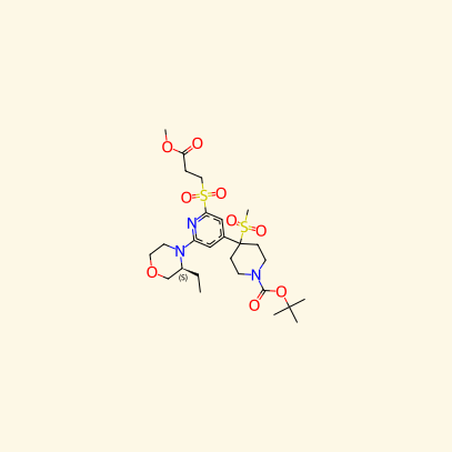 CC[C@H]1COCCN1c1cc(C2(S(C)(=O)=O)CCN(C(=O)OC(C)(C)C)CC2)cc(S(=O)(=O)CCC(=O)OC)n1